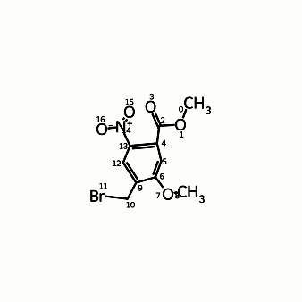 COC(=O)c1cc(OC)c(CBr)cc1[N+](=O)[O-]